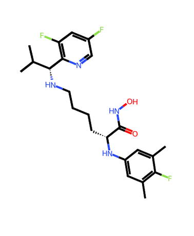 Cc1cc(N[C@H](CCCCN[C@@H](c2ncc(F)cc2F)C(C)C)C(=O)NO)cc(C)c1F